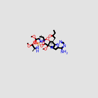 CCC(=O)C[C@@H](c1ccc2c(N)ncnn12)[C@H](OC(=O)CC)[C@@](C#N)(COP(=O)(N[C@@H](C)C(=O)OC)N[C@@H](C)C(=O)OC)OC